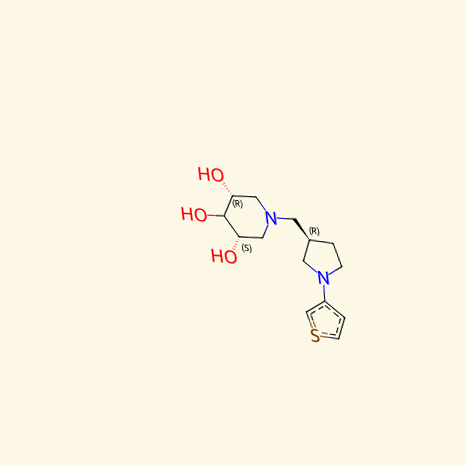 OC1[C@H](O)CN(C[C@H]2CCN(c3ccsc3)C2)C[C@@H]1O